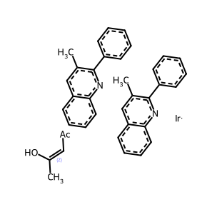 CC(=O)/C=C(/C)O.Cc1cc2ccccc2nc1-c1ccccc1.Cc1cc2ccccc2nc1-c1ccccc1.[Ir]